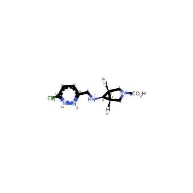 O=C(O)N1C[C@@H]2[C@H](C1)[C@H]2NCc1ccc(Cl)nn1